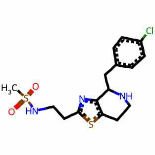 CS(=O)(=O)NCCc1nc2c(s1)CCNC2Cc1ccc(Cl)cc1